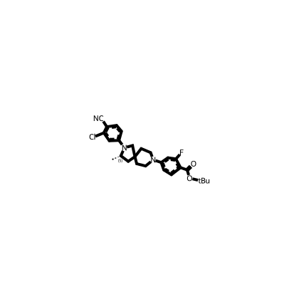 C[C@H]1CC2(CCN(c3ccc(C(=O)OC(C)(C)C)c(F)c3)CC2)CN1c1ccc(C#N)c(Cl)c1